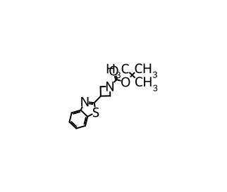 CC(C)(C)OC(=O)N1CC(c2nc3ccccc3s2)C1